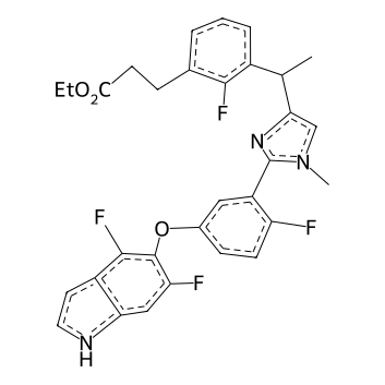 CCOC(=O)CCc1cccc(C(C)c2cn(C)c(-c3cc(Oc4c(F)cc5[nH]ccc5c4F)ccc3F)n2)c1F